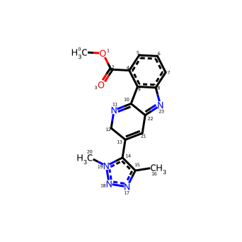 COC(=O)c1cccc2c1C1=NCC(c3c(C)nnn3C)=CC1=N2